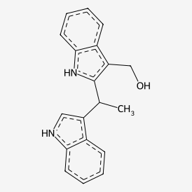 CC(c1[nH]c2ccccc2c1CO)c1c[nH]c2ccccc12